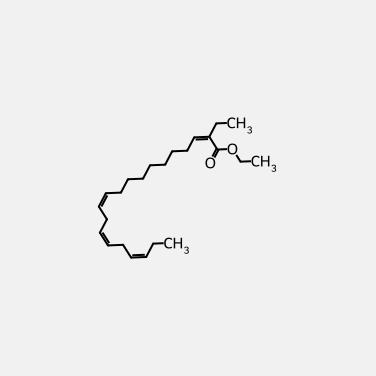 CC/C=C\C/C=C\C/C=C\CCCCCCCC=C(CC)C(=O)OCC